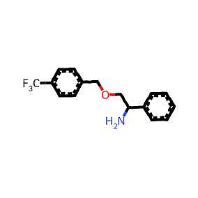 NC(COCc1ccc(C(F)(F)F)cc1)c1ccccc1